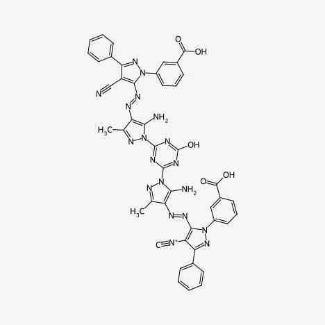 [C-]#[N+]c1c(-c2ccccc2)nn(-c2cccc(C(=O)O)c2)c1N=Nc1c(C)nn(-c2nc(O)nc(-n3nc(C)c(N=Nc4c(C#N)c(-c5ccccc5)nn4-c4cccc(C(=O)O)c4)c3N)n2)c1N